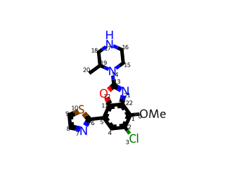 COc1c(Cl)cc(-c2nccs2)c2oc(N3CCNCC3C)nc12